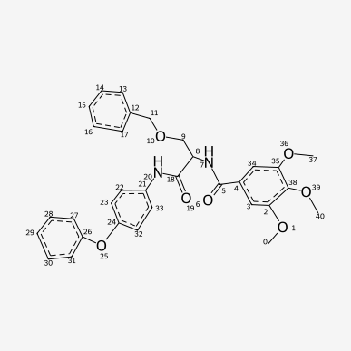 COc1cc(C(=O)NC(COCc2ccccc2)C(=O)Nc2ccc(Oc3ccccc3)cc2)cc(OC)c1OC